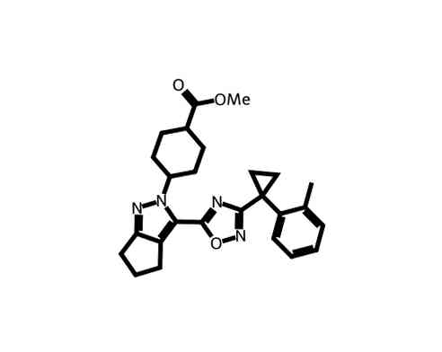 COC(=O)C1CCC(n2nc3c(c2-c2nc(C4(c5ccccc5C)CC4)no2)CCC3)CC1